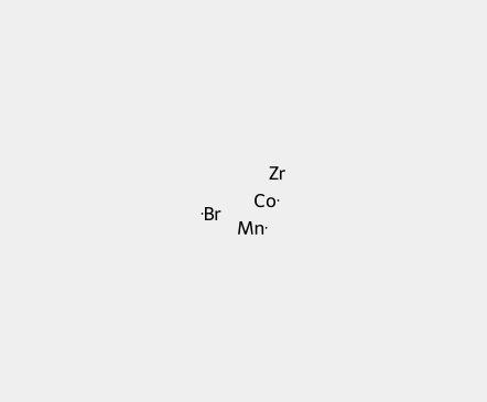 [Br].[Co].[Mn].[Zr]